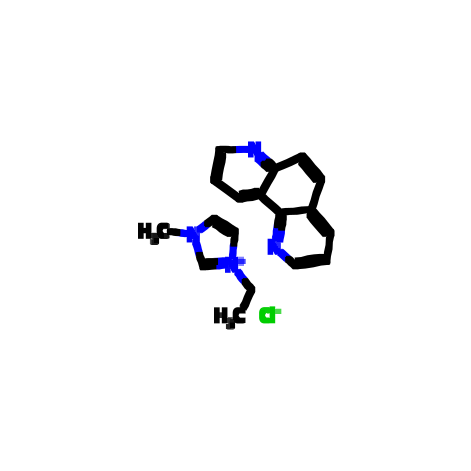 CC[n+]1ccn(C)c1.[Cl-].c1cnc2c(c1)ccc1ncccc12